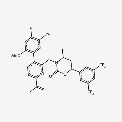 C=C(C)c1ccc(-c2cc(C(C)C)c(F)cc2OC)c(CN2C(=O)OC(c3cc(C(F)(F)F)cc(C(F)(F)F)c3)C[C@@H]2C)n1